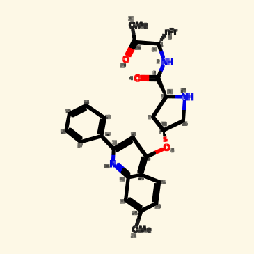 CCC[C@H](NC(=O)[C@@H]1C[C@@H](Oc2cc(-c3ccccc3)nc3cc(OC)ccc23)CN1)C(=O)OC